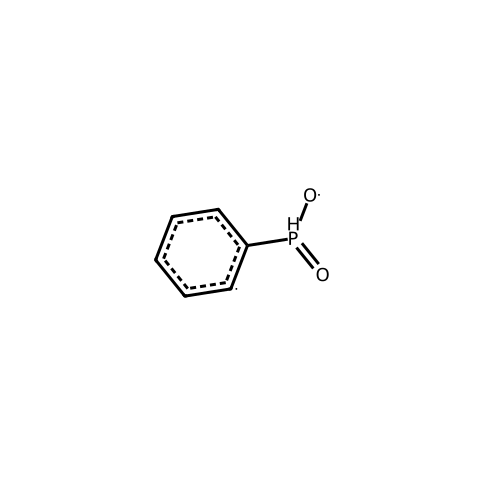 [O][PH](=O)c1[c]cccc1